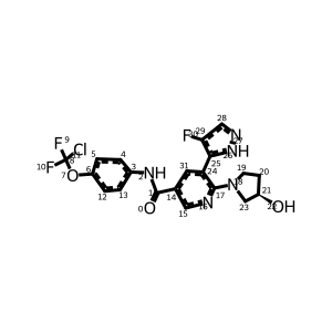 O=C(Nc1ccc(OC(F)(F)Cl)cc1)c1cnc(N2CC[C@@H](O)C2)c(-c2[nH]ncc2F)c1